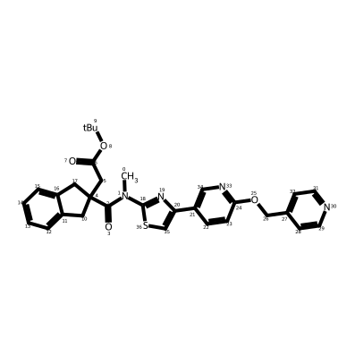 CN(C(=O)C1(CC(=O)OC(C)(C)C)Cc2ccccc2C1)c1nc(-c2ccc(OCc3ccncc3)nc2)cs1